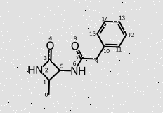 CC1NC(=O)C1NC(=O)Cc1ccccc1